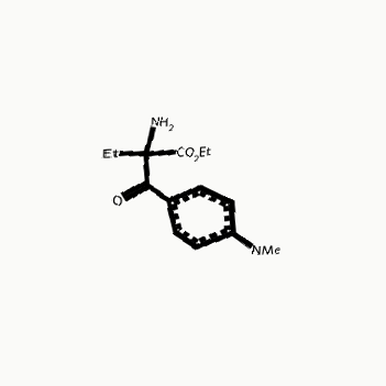 CCOC(=O)C(N)(CC)C(=O)c1ccc(NC)cc1